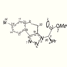 COC(=O)[C@@H](C(C)C)n1nnc2c1CCc1cc(Br)ccc1-2